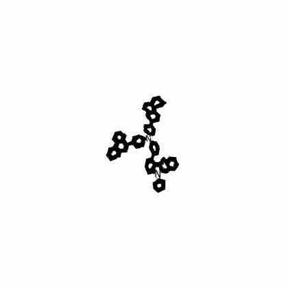 c1ccc(-n2c3cc4ccccc4cc3c3c(-c4cccc(N(c5ccc(-c6ccc7c(ccc8ccccc87)c6)cc5)c5ccc(-c6cc7ccccc7c7ccccc67)cc5)c4)cccc32)cc1